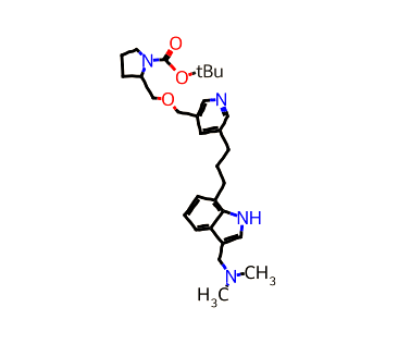 CN(C)Cc1c[nH]c2c(CCCc3cncc(COCC4CCCN4C(=O)OC(C)(C)C)c3)cccc12